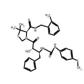 Cc1ccccc1CNC(=O)[C@H]1N(C(=O)[C@@H](O)[C@H](Cc2ccccc2)NC(=O)Nc2ccc(SC(F)(F)F)cc2)CSC1(C)C